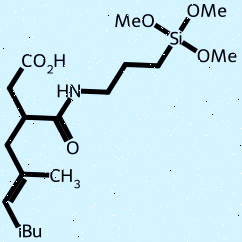 CCC(C)/C=C(\C)CC(CC(=O)O)C(=O)NCCC[Si](OC)(OC)OC